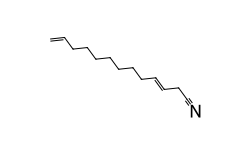 C=CCCCCCCCC=CCC#N